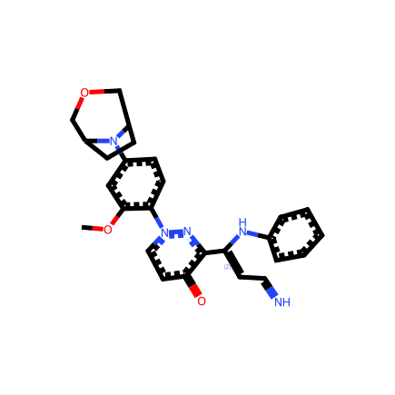 COc1cc(N2C3CCC2COC3)ccc1-n1ccc(=O)c(/C(=C/C=N)Nc2ccccc2)n1